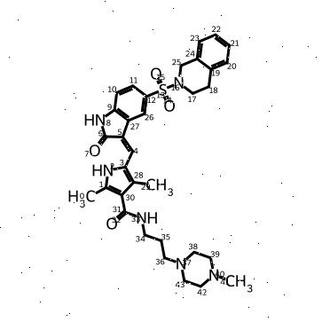 Cc1[nH]c(/C=C2\C(=O)Nc3ccc(S(=O)(=O)N4CCc5ccccc5C4)cc32)c(C)c1C(=O)NCCCN1CCN(C)CC1